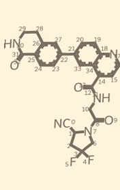 N#CC1CC(F)(F)CN1C(=O)CNC(=O)c1ccnc2ccc(-c3ccc4c(c3)CCNC4=O)cc12